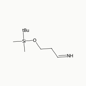 CC(C)(C)[Si](C)(C)OCCC=N